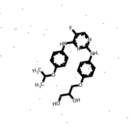 CC(C)Oc1ccc(Nc2nc(Nc3ccc(OCC(O)CO)cc3)ncc2F)cc1